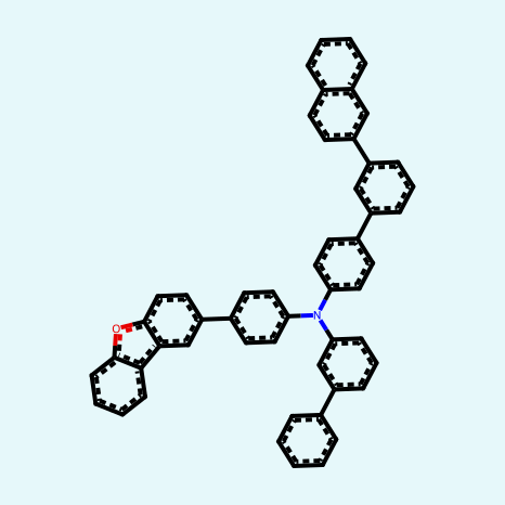 c1ccc(-c2cccc(N(c3ccc(-c4cccc(-c5ccc6ccccc6c5)c4)cc3)c3ccc(-c4ccc5oc6ccccc6c5c4)cc3)c2)cc1